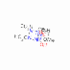 COCCN(C1C(CCCO)NCCN(CC(=O)O)CCN(CC(=O)O)CCN1CC(=O)O)S(C)(=O)=O